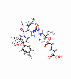 CC(C)C(NC(=O)NCC(C)(C)OC(=O)CCCC(=O)O)C(=O)N1CC[C@](O)(c2ccc(Cl)cc2)C(C)(C)C1